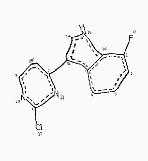 Fc1cccc2c(-c3ccnc(Cl)n3)c[nH]c12